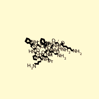 CC(C)C[C@H](NC(=O)[C@H](Cc1c[nH]c2ccccc12)NC(=O)[C@H](CC(N)=O)NC(=O)[C@@H](NC(=O)[C@H](C)NC(=O)[C@@H](N)CCCCN)C(C)C)C(=O)N[C@@H](CCCCN)C(=O)N1CCC[C@H]1C(=O)N[C@@H](Cc1c[nH]c2ccccc12)C(=O)N[C@H](C(=O)O)[C@@H](C)O